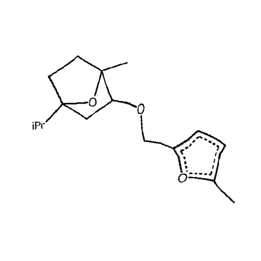 Cc1ccc(COC2CC3(C(C)C)CCC2(C)O3)o1